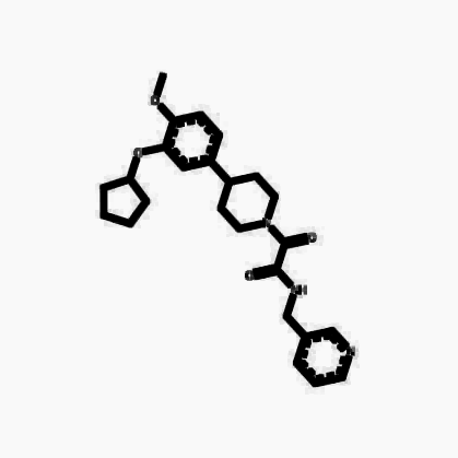 COc1ccc(C2CCN(C(=O)C(=O)NCc3cccnc3)CC2)cc1OC1CCCC1